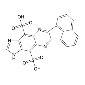 O=S(=O)(O)c1c2nc3c(nc2c(S(=O)(=O)O)c2[nH]cnc12)-c1cccc2cccc-3c12